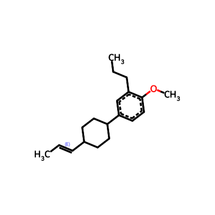 C/C=C/C1CCC(c2ccc(OC)c(CCC)c2)CC1